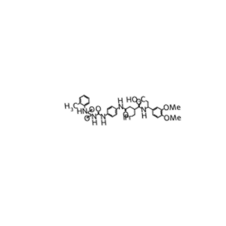 COc1ccc(C(CC(=O)O)NC(=O)C(CC(=O)Nc2ccc(NC(=O)NS(=O)(=O)Nc3ccccc3C)cc2)CC(C)C)cc1OC